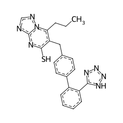 CCCc1c(Cc2ccc(-c3ccccc3-c3nnn[nH]3)cc2)c(S)nc2ncnn12